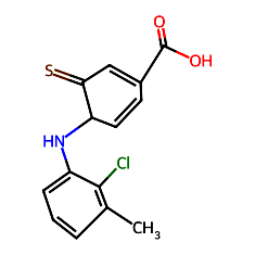 Cc1cccc(NC2C=CC(C(=O)O)=CC2=S)c1Cl